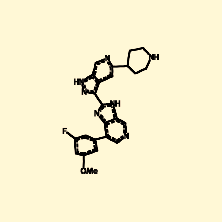 COc1cc(F)cc(-c2cncc3[nH]c(-c4n[nH]c5cnc(C6CCNCC6)cc45)nc23)c1